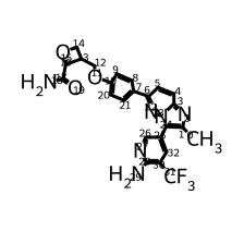 Cc1nc2ccc(-c3ccc(OCC4COC4C(N)=O)cc3)nn2c1-c1cnc(N)c(C(F)(F)F)c1